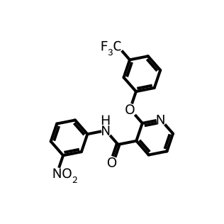 O=C(Nc1cccc([N+](=O)[O-])c1)c1cccnc1Oc1cccc(C(F)(F)F)c1